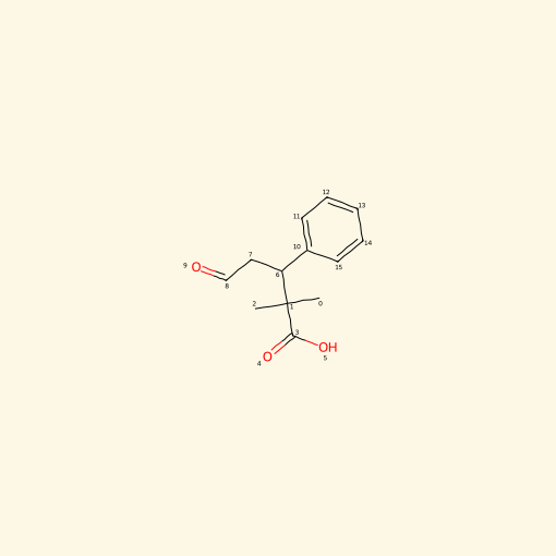 CC(C)(C(=O)O)C(CC=O)c1ccccc1